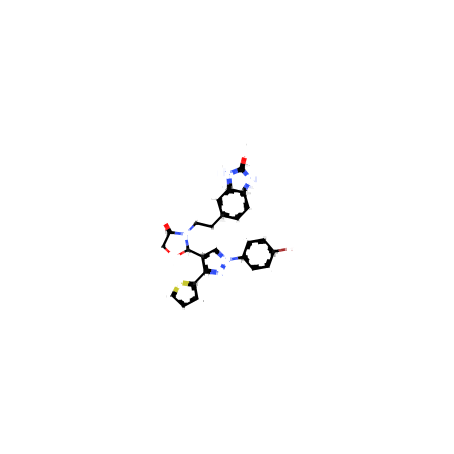 O=C1COC(c2cn(-c3ccc(Br)cc3)nc2-c2cccs2)N1CCc1ccc2[nH]c(=O)[nH]c2c1